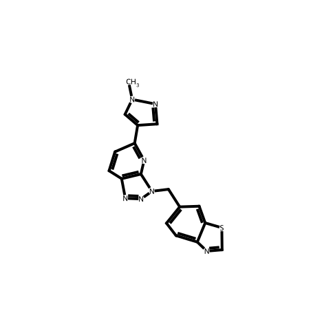 Cn1cc(-c2ccc3nnn(Cc4ccc5ncsc5c4)c3n2)cn1